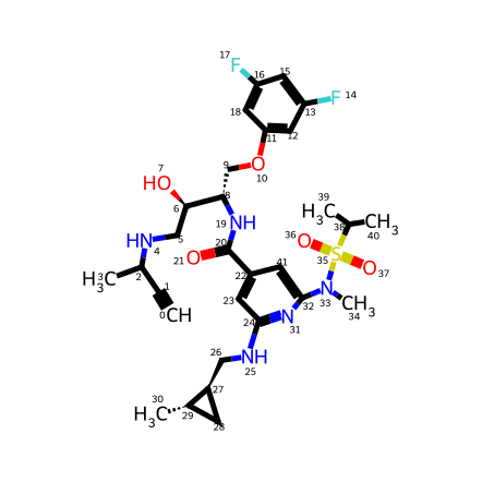 C#CC(C)NC[C@@H](O)[C@H](COc1cc(F)cc(F)c1)NC(=O)c1cc(NC[C@H]2C[C@@H]2C)nc(N(C)S(=O)(=O)C(C)C)c1